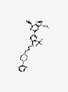 Cn1nnc2c(C#N)nc(-c3ccc(OCCCN4CCN(c5ccccn5)CC4)c(C(F)(F)F)c3)cc21